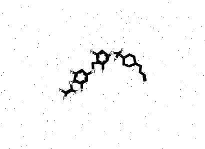 C=CCCC1CCC(C(F)(F)Oc2cc(F)c(COc3cc(F)c(OC(F)=C(F)F)c(F)c3)c(F)c2)CC1